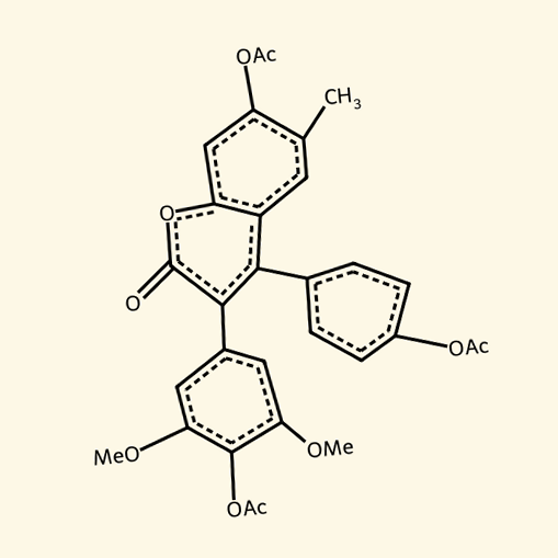 COc1cc(-c2c(-c3ccc(OC(C)=O)cc3)c3cc(C)c(OC(C)=O)cc3oc2=O)cc(OC)c1OC(C)=O